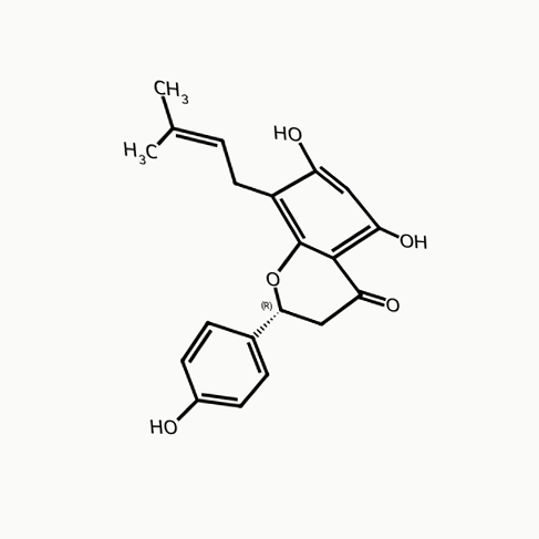 CC(C)=CCc1c(O)cc(O)c2c1O[C@@H](c1ccc(O)cc1)CC2=O